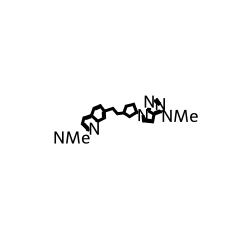 CNc1ccc2ccc(CCC3CCC(n4ccc5c(NC)ncnc54)C3)cc2n1